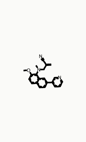 C=C(C#N)CN(C)c1c(OC)ccc2ccc(-c3cccnc3)cc12